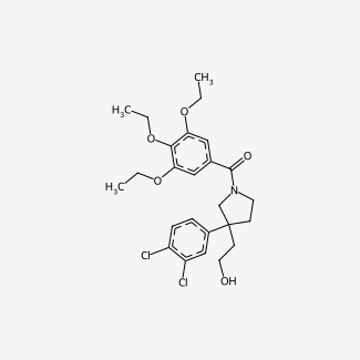 CCOc1cc(C(=O)N2CCC(CCO)(c3ccc(Cl)c(Cl)c3)C2)cc(OCC)c1OCC